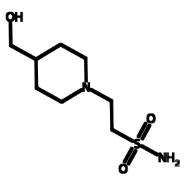 NS(=O)(=O)CCN1CCC(CO)CC1